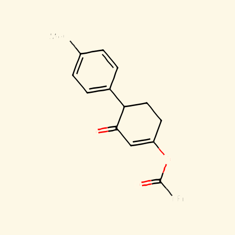 CCCC(=O)OC1=CC(=O)C(c2ccc(OC)cc2)CC1